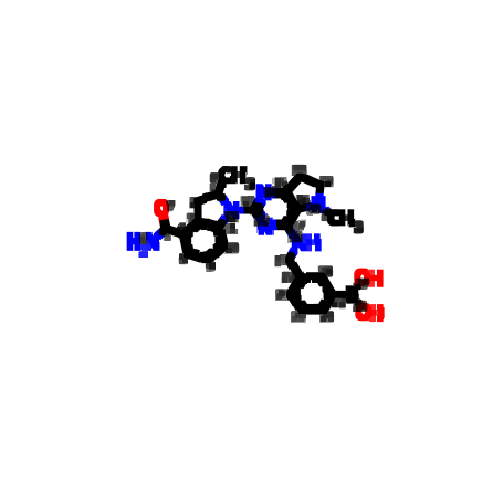 CC1Cc2c(C(N)=O)cccc2N1c1nc2c(c(NCc3cccc(B(O)O)c3)n1)N(C)CC2